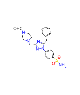 NS(=O)(=O)c1ccc(-n2nc(CN3CCN(C=O)CC3)nc2Cc2ccccc2)cc1